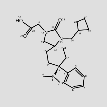 CN(C)[C@]1(c2ccccc2)CC[C@]2(CC1)CN(CC(=O)O)C(=O)N2CC1CCC1